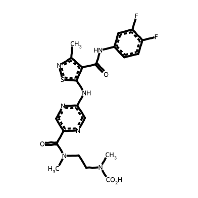 Cc1nsc(Nc2cnc(C(=O)N(C)CCN(C)C(=O)O)cn2)c1C(=O)Nc1ccc(F)c(F)c1